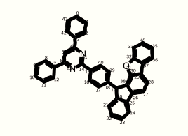 c1ccc(-c2cc(-c3ccccc3)nc(-c3ccc(C4c5ccccc5-c5ccc6c(oc7ccccc76)c54)cc3)n2)cc1